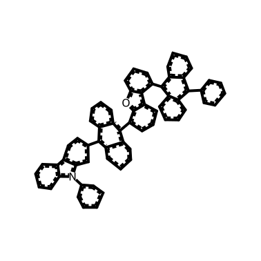 c1ccc(-c2c3ccccc3c(-c3cccc4oc5c(-c6c7ccccc7c(-c7ccc8c9ccccc9n(-c9ccccc9)c8c7)c7ccccc67)cccc5c34)c3ccccc23)cc1